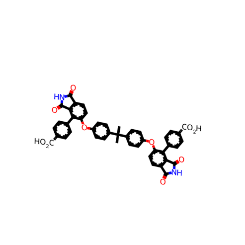 CC(C)(c1ccc(Oc2ccc3c(c2-c2ccc(C(=O)O)cc2)C(=O)NC3=O)cc1)c1ccc(Oc2ccc3c(c2-c2ccc(C(=O)O)cc2)C(=O)NC3=O)cc1